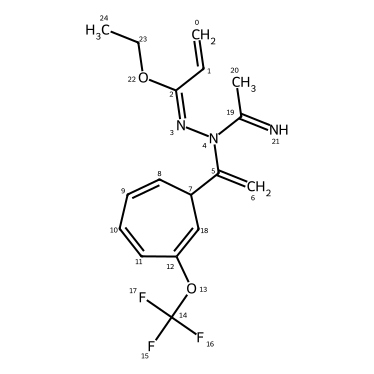 C=C/C(=N\N(C(=C)C1C=CC=CC(OC(F)(F)F)=C1)C(C)=N)OCC